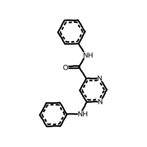 O=C(Nc1ccccc1)c1cc(Nc2ccccc2)ncn1